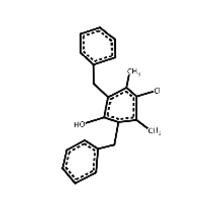 Cc1c(Cl)c(C)c(Cc2ccccc2)c(O)c1Cc1ccccc1